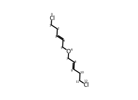 ClCCC=CCOCC=CCCCl